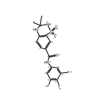 CC1(C)Nc2ccc(C(=O)Nc3cc(F)c(F)c(F)c3)cc2S(=O)(=O)N1